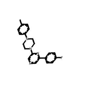 Cc1ccc(N2CCN(c3cncc(-c4ccc(F)cc4)n3)CC2)cc1